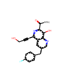 CNC(=O)c1nc(C#CCO)c2cc(Cc3ccc(F)cc3)cnc2c1O